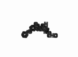 O=COc1c[nH]c(NC(=O)C2COc3ccc(OCc4ccccc4)cc3O2)n1